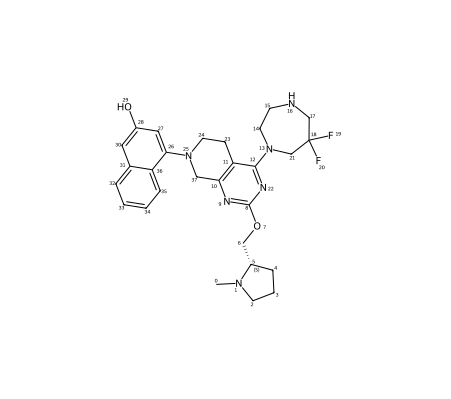 CN1CCC[C@H]1COc1nc2c(c(N3CCNCC(F)(F)C3)n1)CCN(c1cc(O)cc3ccccc13)C2